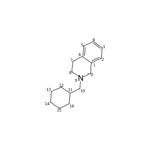 [CH]1c2ccccc2CCN1CC1CCCCC1